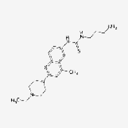 CCN1CCN(c2cc(C)c3cc(NC(=S)NCCCN)ccc3n2)CC1